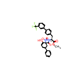 COC(=O)[C@H](Cc1ccc(-c2cccc(C(F)(F)F)c2)cc1)NC(=O)C1([N+](=O)[O-])CC(c2ccccc2)=CC=C1O